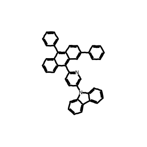 c1ccc(-c2ccc3c(-c4ccccc4)c4ccccc4c(-c4ccc(-n5c6ccccc6c6ccccc65)cn4)c3c2)cc1